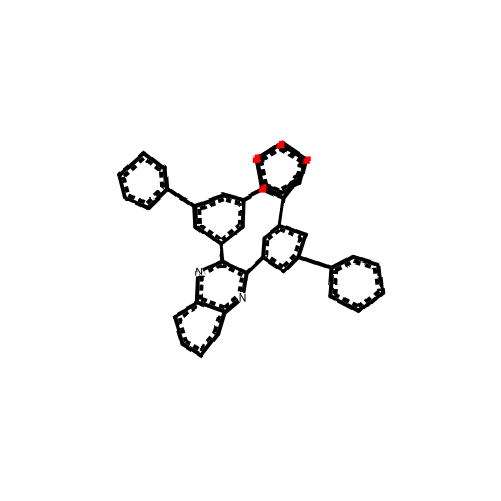 c1ccc(-c2cc(-c3ccccc3)cc(-c3nc4ccccc4nc3-c3cc(-c4ccccc4)cc(-c4ccccc4)c3)c2)cc1